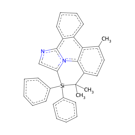 Cc1ccc2c3c1c1ccccc1c1ncc(n13)[Si](c1ccccc1)(c1ccccc1)C2(C)C